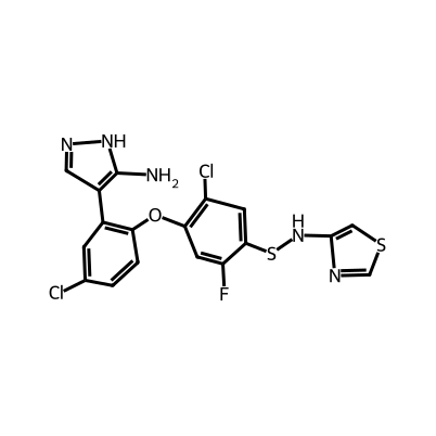 Nc1[nH]ncc1-c1cc(Cl)ccc1Oc1cc(F)c(SNc2cscn2)cc1Cl